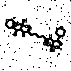 CC(C)(S)C(NC(=O)CCCCC(=O)NC(C(=O)N1CCOCC1)C(C)(C)S)C(=O)N1CCOCC1